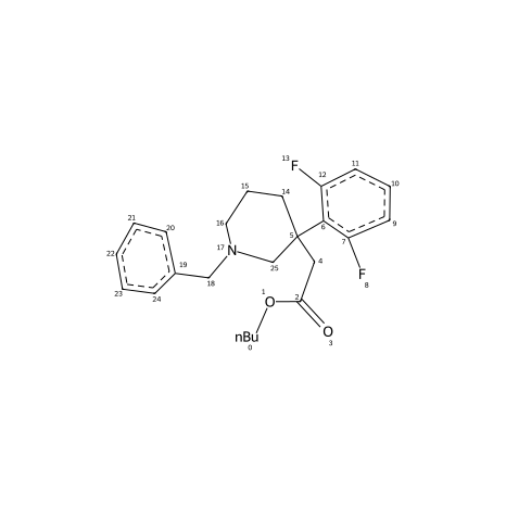 CCCCOC(=O)CC1(c2c(F)cccc2F)CCCN(Cc2ccccc2)C1